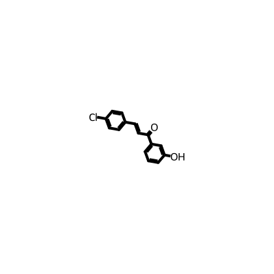 O=C(C=Cc1ccc(Cl)cc1)c1cccc(O)c1